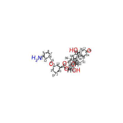 Cc1cc(OCc2cccc(N)c2)cc([C@@H]2O[C@@H]3C[C@H]4[C@@H]5CCC6=CC(=O)C=C[C@]6(C)[C@H]5[C@@H](O)C[C@]4(C)[C@]3(C(=O)CO)O2)c1